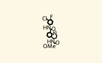 COC(=O)NC1CCN(C)c2c(C(=O)Nc3ccc(F)c(Cl)c3)cccc21